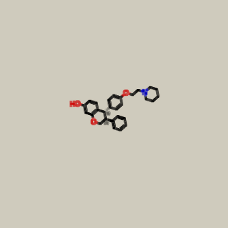 Oc1ccc2c(c1)OC[C@H](c1ccccc1)[C@H]2c1ccc(OCCN2CCCCC2)cc1